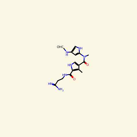 Cc1c(C(=O)N(C)c2cc(NC=O)c[nH]2)c[nH]c1C(=O)NCCC(=N)N